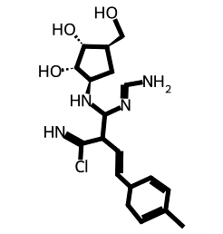 CC1=CCC(/C=C/C(C(=N)Cl)C(/N=C/N)N[C@@H]2C[C@H](CO)[C@@H](O)[C@H]2O)C=C1